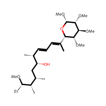 CC[C@H](OC)[C@@H](C)[C@@H](C)C[C@@H](O)[C@H](C)/C=C/C=C(\C)[C@@H]1O[C@H](OC)[C@H](OC)[C@@H](OC)[C@@H]1OC